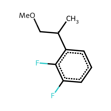 COC[C](C)c1cccc(F)c1F